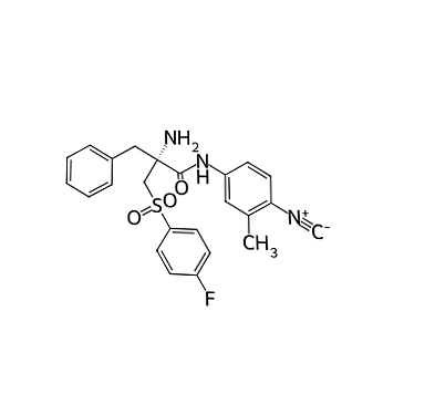 [C-]#[N+]c1ccc(NC(=O)[C@](N)(Cc2ccccc2)CS(=O)(=O)c2ccc(F)cc2)cc1C